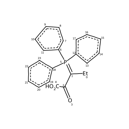 CCC(C(=O)C(=O)O)=P(c1ccccc1)(c1ccccc1)c1ccccc1